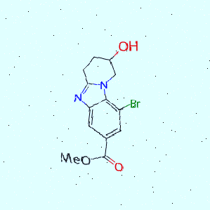 COC(=O)c1cc(Br)c2c(c1)nc1n2CC(O)CC1